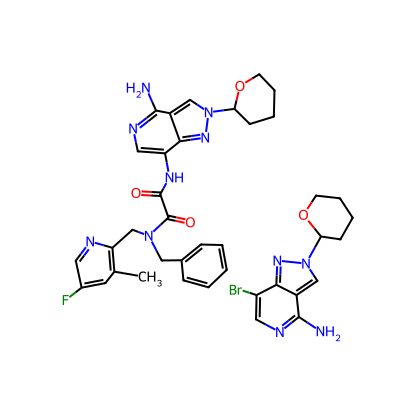 Cc1cc(F)cnc1CN(Cc1ccccc1)C(=O)C(=O)Nc1cnc(N)c2cn(C3CCCCO3)nc12.Nc1ncc(Br)c2nn(C3CCCCO3)cc12